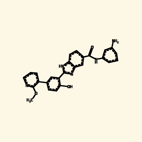 COc1ncccc1-c1ccc(O)c(-c2nc3cc(C(=O)Nc4cccc(N)c4)ccc3[nH]2)c1